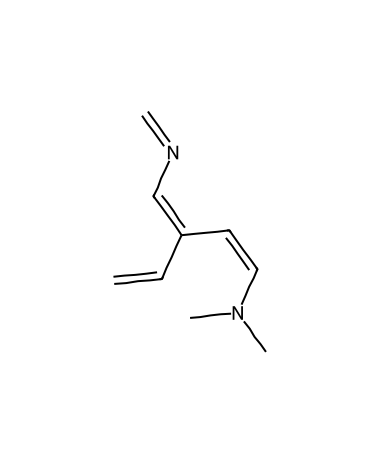 C=CC(/C=C\N(C)C)=C/N=C